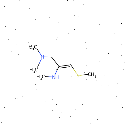 CN/C(=C\SC)CN(C)C